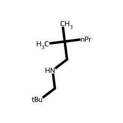 CCCC(C)(C)CNCC(C)(C)C